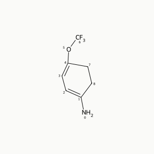 NC1=CC=C(OC(F)(F)F)CC1